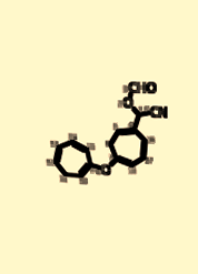 N#CC(OC=O)C1=CCC(OC2=CCC=CC=C2)=CC=C1